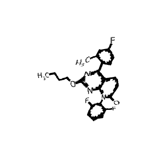 CCCCOc1nc(-c2ccc(F)cc2C)c2ccc(=O)n(-c3c(F)cccc3F)c2n1